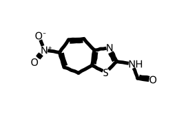 O=CNc1nc2c(s1)CC=C([N+](=O)[O-])C=C2